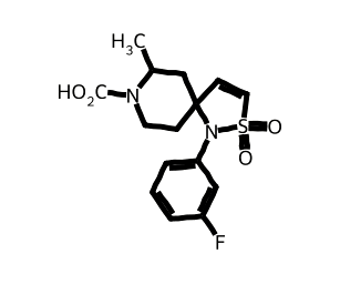 CC1CC2(C=CS(=O)(=O)N2c2cccc(F)c2)CCN1C(=O)O